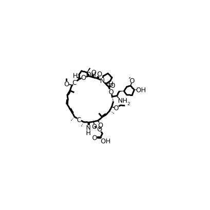 CCO[C@@H]1C[C@@H]([C@H](N)C[C@@H]2CC[C@@H](O)[C@H](OC)C2)OC(=O)[C@@H]2CCCCN2C(=O)C(=O)[C@]2(O)O[C@@H](CC[C@H]2C)C[C@H](OC)/C(C)=C/C=C/C=C/[C@@H](C)C[C@@H](C)C(=N)[C@H](OC)[C@H](OOCC(=O)O)/C(C)=C/[C@H]1C